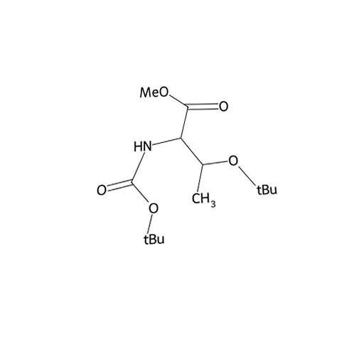 COC(=O)C(NC(=O)OC(C)(C)C)C(C)OC(C)(C)C